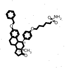 C[C@]12C[C@H](c3ccc(OCCCCCS(N)(=O)=O)cc3)C3c4ccc(OCc5ccccc5)cc4CCC3C1CCC2=O